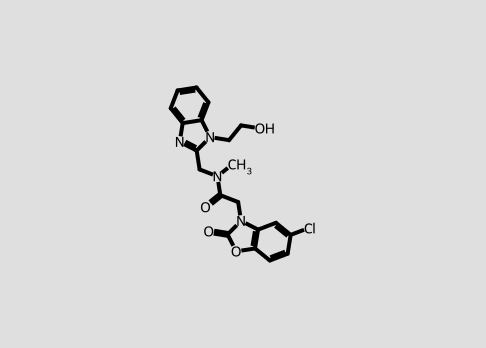 CN(Cc1nc2ccccc2n1CCO)C(=O)Cn1c(=O)oc2ccc(Cl)cc21